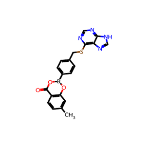 Cc1ccc2c(c1)OB(c1ccc(CSc3ncnc4[nH]cnc34)cc1)OC2=O